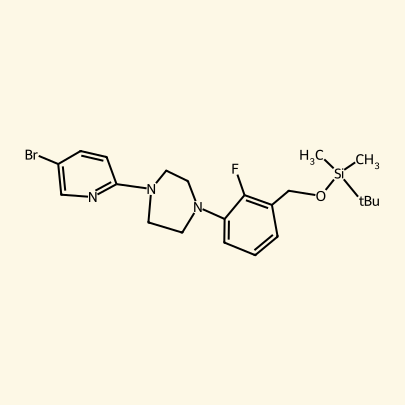 CC(C)(C)[Si](C)(C)OCc1cccc(N2CCN(c3ccc(Br)cn3)CC2)c1F